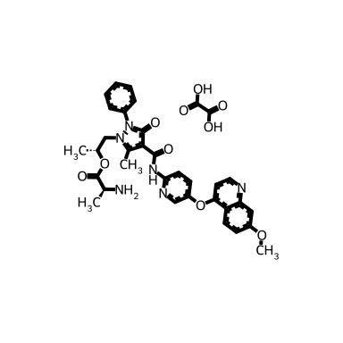 COc1ccc2c(Oc3ccc(NC(=O)c4c(C)n(C[C@@H](C)OC(=O)[C@H](C)N)n(-c5ccccc5)c4=O)nc3)ccnc2c1.O=C(O)C(=O)O